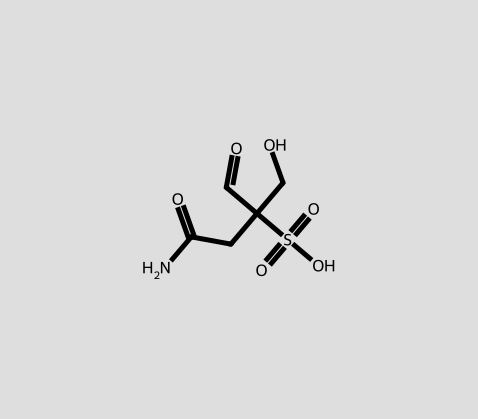 NC(=O)CC(C=O)(CO)S(=O)(=O)O